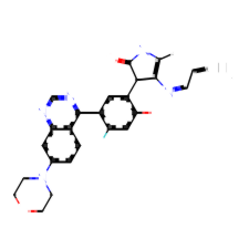 C=C/C=N\C1=C(C)NC(=O)C1c1cc(-c2ncnc3cc(N4CCOCC4)ccc23)c(F)cc1O